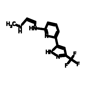 CN/C=C\Nc1cccc(-c2cc(C(F)(F)F)n[nH]2)n1